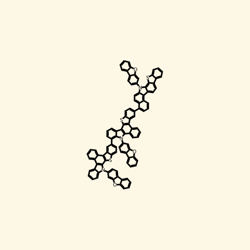 c1ccc2c(c1)oc1cc(-n3c4ccc5c(-c6ccc7sc8c(c7c6)c6ccccc6c6c8c7cccc(-c8ccc9sc%10c(c9c8)c8ccccc8c8c9ccccc9n(-c9ccc%11c(c9)oc9ccccc9%11)c%108)c7n6-c6ccc7c(c6)oc6ccccc67)cccc5c4c4ccc5c6ccccc6sc5c43)ccc12